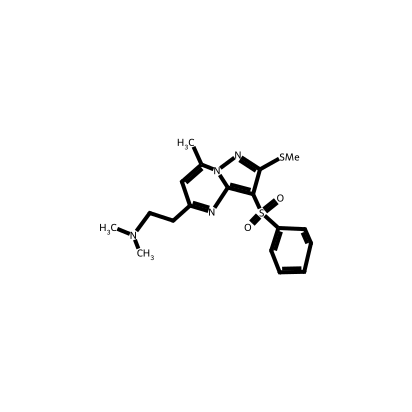 CSc1nn2c(C)cc(CCN(C)C)nc2c1S(=O)(=O)c1ccccc1